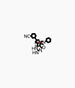 CN1C(=N)N[C@](C)(c2cc(-c3cccc(C#N)c3)cs2)C(C2(O)CN(c3ccccc3)C2)C1=O